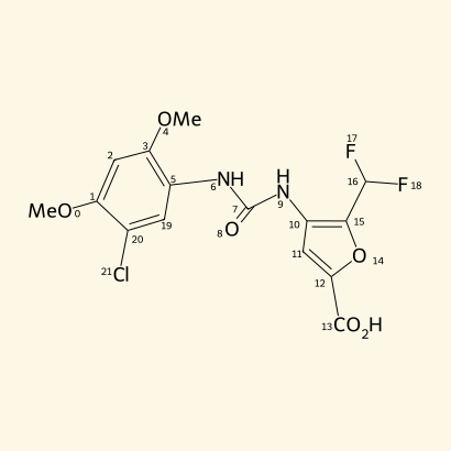 COc1cc(OC)c(NC(=O)Nc2cc(C(=O)O)oc2C(F)F)cc1Cl